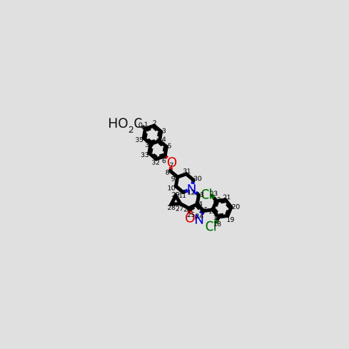 O=C(O)c1ccc2cc(OCC3CCN(Cc4c(-c5c(Cl)cccc5Cl)noc4C4CC4)CC3)ccc2c1